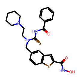 O=C(NC(=S)N(CCN1CCCCC1)Cc1ccc2sc(C(=O)NO)cc2c1)c1ccccc1